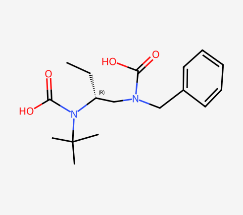 CC[C@H](CN(Cc1ccccc1)C(=O)O)N(C(=O)O)C(C)(C)C